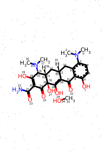 CN(C)c1ccc(O)c2c1C[C@H]1C[C@H]3[C@H](N(C)C)C(O)=C(C(N)=O)C(=O)[C@@]3(O)C(O)=C1C2=O.CO